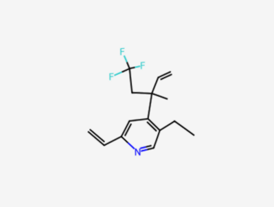 C=Cc1cc(C(C)(C=C)CC(F)(F)F)c(CC)cn1